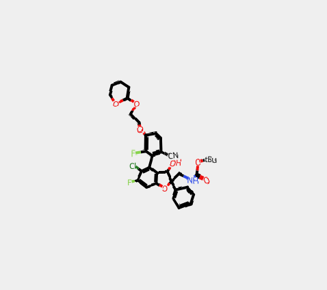 CC(C)(C)OC(=O)NCC1(c2ccccc2)Oc2cc(F)c(Cl)c(-c3c(C#N)ccc(OCCOC4CCCCO4)c3F)c2C1O